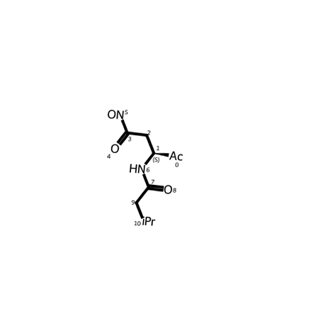 CC(=O)[C@H](CC(=O)N=O)NC(=O)CC(C)C